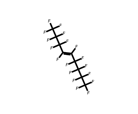 F/C(=C(/F)C(F)(F)C(F)(F)C(F)(F)C(F)(F)F)C(F)(F)C(F)(F)C(F)(F)F